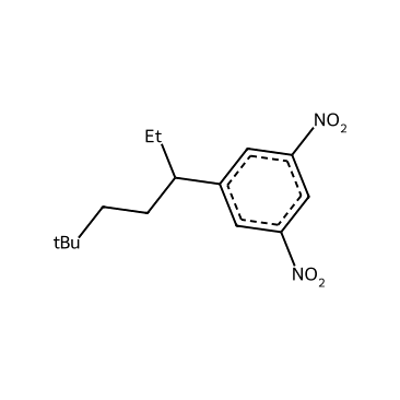 CCC(CCC(C)(C)C)c1cc([N+](=O)[O-])cc([N+](=O)[O-])c1